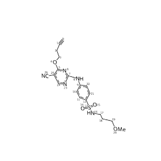 C#CCCOc1nc(Nc2ccc(S(=O)(=O)NCCCOC)cc2)ncc1C#N